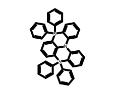 c1ccc(S2(c3ccccc3)c3ccccc3N3c4ccccc4S(c4ccccc4)(c4ccccc4)c4cccc2c43)cc1